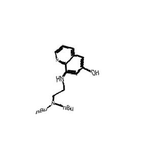 CCCCN(CCCC)CCNc1cc(O)cc2cccnc12